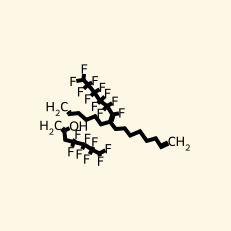 C=C(O)CC(F)(F)C(F)(F)C(F)(F)C(F)F.C=CCCCCCCC(CCCCC=C)=C(F)C(F)(F)C(F)(F)C(F)(F)C(F)(F)C(F)F